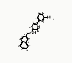 Nc1[c]c(-c2cnc(NCc3ccc4ccccc4c3)cn2)ccc1